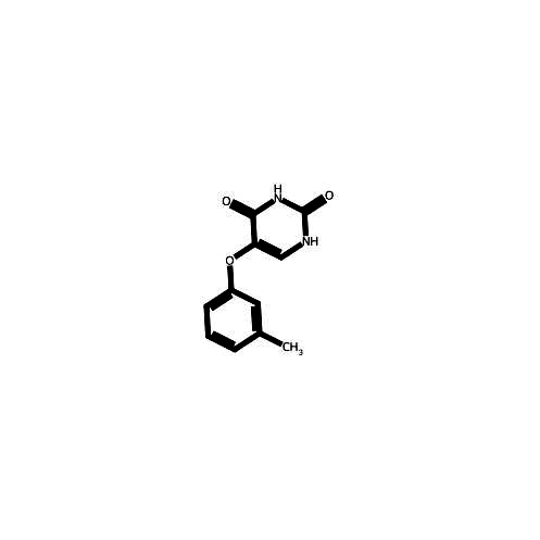 Cc1cccc(Oc2c[nH]c(=O)[nH]c2=O)c1